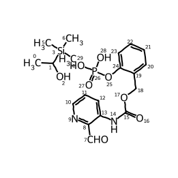 CC(O)[Si](C)(C)C.O=Cc1ncccc1NC(=O)OCc1ccccc1OP(=O)(O)O